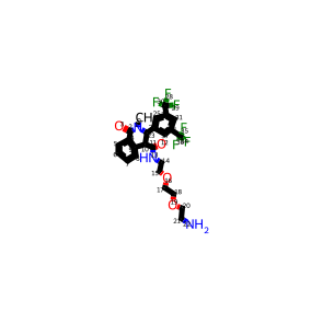 CN1C(=O)c2ccccc2C(C(=O)NCCOCCOCCN)C1c1cc(C(F)(F)F)cc(C(F)(F)F)c1